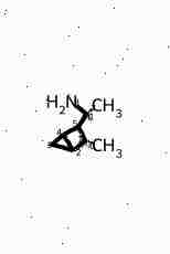 C[C@@H]1C2CC2C1[C@@H](C)N